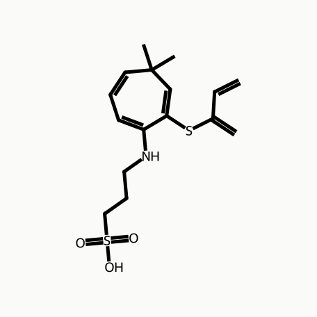 C=CC(=C)SC1=CC(C)(C)C=CC=C1NCCCS(=O)(=O)O